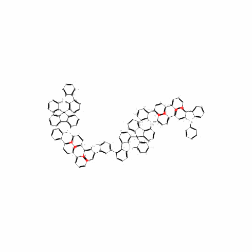 c1ccc(-c2ccc(-c3ccccc3N(c3ccc(-c4cccc5c4oc4ccc(-c6cccc7c6c6cccc8c6n7-c6ccccc6C86c7ccccc7-c7c(N(c8ccc(-c9ccc%10c%11ccccc%11n(-c%11ccccc%11)c%10c9)cc8)c8ccccc8-c8ccc(-c9ccccc9)cc8)cccc76)cc45)cc3)c3cccc4c3-c3ccccc3C43c4ccccc4-n4c5ccccc5c5cccc3c54)cc2)cc1